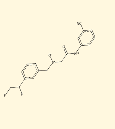 N#Cc1cccc(NC(=O)C[S+]([O-])Cc2cccc(C(F)CF)c2)c1